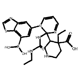 CCNC(=O)NC1(C2CNCCC2(CC)C(=O)O)N=CC=CN1c1cc(B(O)O)c2scnc2c1